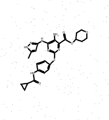 Cc1cc(Nc2nc(Sc3ccc(NC(=O)C4CC4)cc3)nc(C(=O)OC3CCOCC3)c2N)n[nH]1